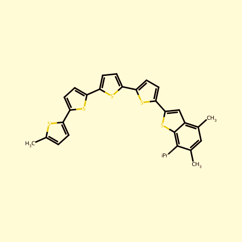 Cc1ccc(-c2ccc(-c3ccc(-c4ccc(-c5cc6c(C)cc(C)c(C(C)C)c6s5)s4)s3)s2)s1